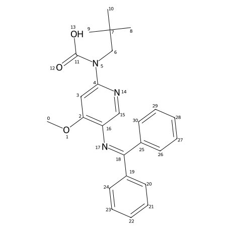 COc1cc(N(CC(C)(C)C)C(=O)O)ncc1N=C(c1ccccc1)c1ccccc1